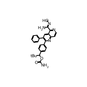 CC(C)(C)C(OC(N)=O)c1ccc(-c2nc3ccnc(/C(N)=N/O)c3cc2-c2ccccc2)cc1